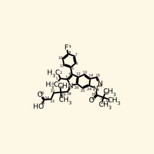 CC(C)c1c(-c2ccc(F)cc2)c2cc3cnn(C(=O)C(C)(C)C)c3cc2n1CC(C)(C)CCC(=O)O